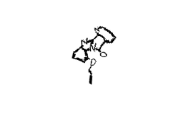 C=CCOc1cccc2nc3n(c12)C(=O)c1cccnc1-3